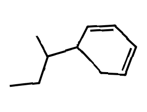 CCC(C)[C]1C=CC=CC1